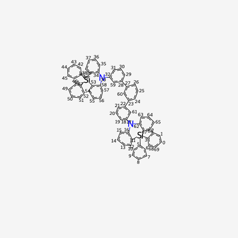 c1ccc([Si]2(c3ccccc3)c3ccccc3N(c3cccc(-c4cccc(-c5cccc(N6c7ccccc7[Si](c7ccccc7)(c7ccccc7)c7ccccc76)c5)c4)c3)c3ccccc32)cc1